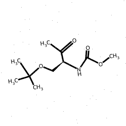 COC(=O)N[C@@H](COC(C)(C)C)C(C)=O